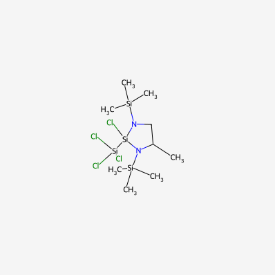 CC1CN([Si](C)(C)C)[Si](Cl)([Si](Cl)(Cl)Cl)N1[Si](C)(C)C